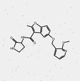 COc1ncccc1COc1ccc2oc(C)c(C(=O)NC3CCNC3=O)c2c1